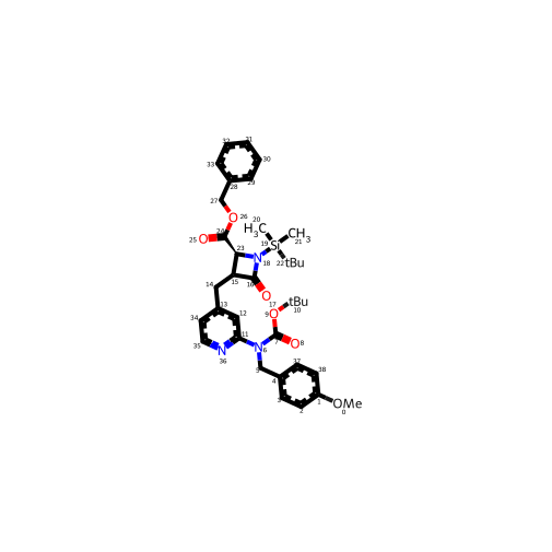 COc1ccc(CN(C(=O)OC(C)(C)C)c2cc(CC3C(=O)N([Si](C)(C)C(C)(C)C)[C@@H]3C(=O)OCc3ccccc3)ccn2)cc1